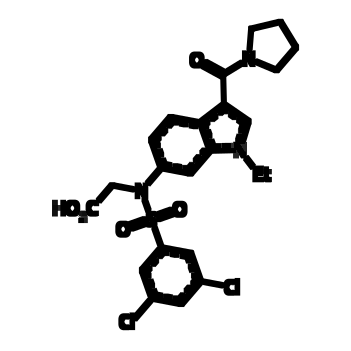 CCn1cc(C(=O)N2CCCC2)c2ccc(N(CC(=O)O)S(=O)(=O)c3cc(Cl)cc(Cl)c3)cc21